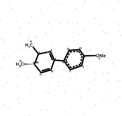 COc1ccc(C2=CC(C)[C@@H](C)C=C2)cc1